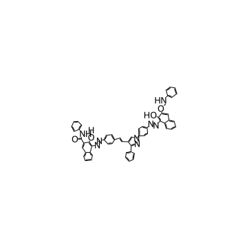 O=C(Nc1ccccc1)c1cc2ccccc2c(N=Nc2ccc(C=Cc3cn(-c4ccc(N=Nc5c(O)c(OCNc6ccccc6)cc6ccccc56)cc4)nc3-c3ccccc3)cc2)c1O